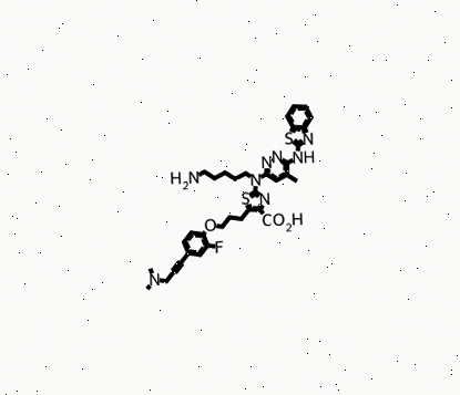 Cc1cc(N(CCCCCN)c2nc(C(=O)O)c(CCCOc3ccc(C#CCN(C)C)cc3F)s2)nnc1Nc1nc2ccccc2s1